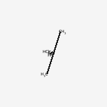 CCCCCCCCCCCCCCCCCCN(CCCCCCCCCCCCCCCCCC)CC(F)(F)C(F)(F)F.Cl